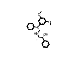 COc1cc(OC)cc([P@@](CN[C@@H](C)[C@H](O)c2ccccc2)c2ccccc2)c1